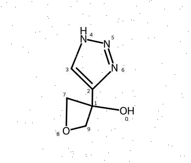 OC1(c2c[nH]nn2)COC1